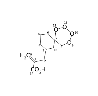 C=C(CC1CCCC2(COOOO2)C1)C(=O)O